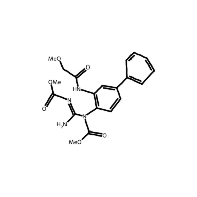 COCC(=O)Nc1cc(-c2ccccc2)ccc1N(C(=O)OC)C(N)=NC(=O)OC